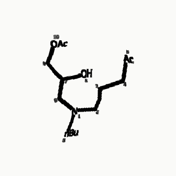 CCCCN(CCCC(C)=O)CC(O)COC(C)=O